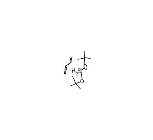 C=CC=C.CC(C)(C)O[SiH2]OC(C)(C)C